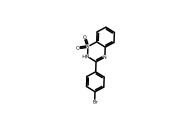 O=S1(=O)NC(c2ccc(Br)cc2)=Nc2ccccc21